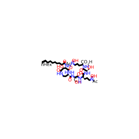 CCCCCC/C=C\CCCCCCCC(=O)N[C@H]1C(=O)N[C@H](C(=O)N[C@H](CO)C(=O)N[C@H](CCCN(O)C(C)=O)C(=O)N[C@@H](CO)C(=O)N[C@@H](CCCN(O)C(C)=O)C(=O)O)CCNC(=O)[C@@H]1O